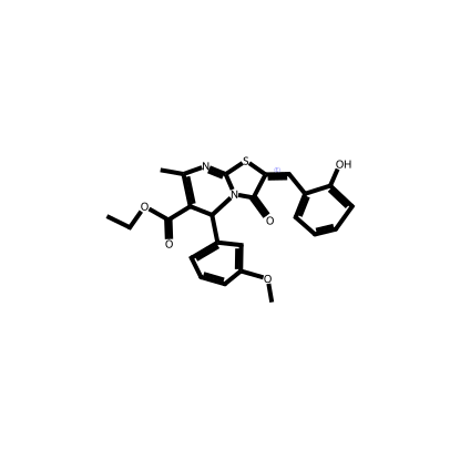 CCOC(=O)C1=C(C)N=c2s/c(=C/c3ccccc3O)c(=O)n2C1c1cccc(OC)c1